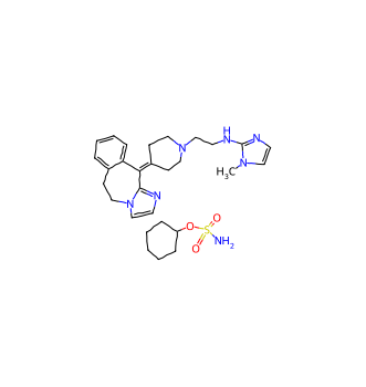 Cn1ccnc1NCCN1CCC(=C2c3ccccc3CCn3ccnc32)CC1.NS(=O)(=O)OC1CCCCC1